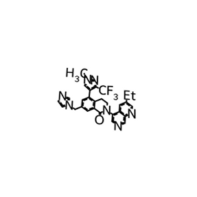 CCc1cnc2cncc(N3CCc4c(cc(Cn5ccnc5)cc4-c4cn(C)nc4C(F)(F)F)C3=O)c2c1